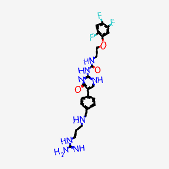 N=C(N)NCCCNCc1ccc(-c2c[nH]c(NC(=O)NCCOc3cc(F)c(F)cc3F)nc2=O)cc1